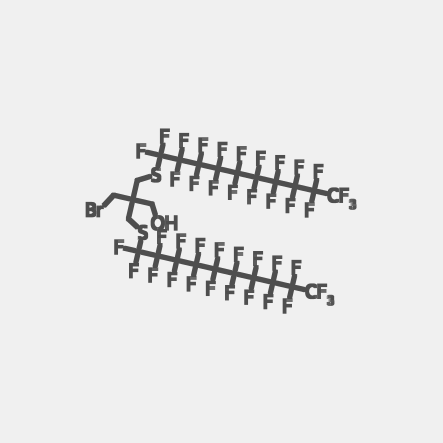 OCC(CBr)(CSC(F)(F)C(F)(F)C(F)(F)C(F)(F)C(F)(F)C(F)(F)C(F)(F)C(F)(F)C(F)(F)C(F)(F)F)CSC(F)(F)C(F)(F)C(F)(F)C(F)(F)C(F)(F)C(F)(F)C(F)(F)C(F)(F)C(F)(F)C(F)(F)F